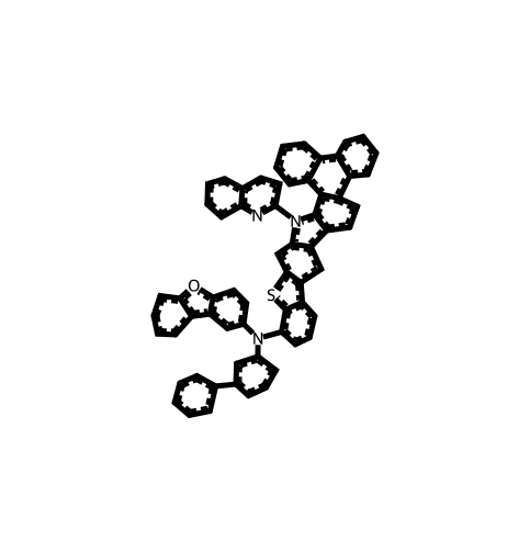 c1ccc(-c2cccc(N(c3ccc4oc5ccccc5c4c3)c3cccc4c3sc3cc5c(cc34)c3ccc4c6ccccc6c6ccccc6c4c3n5-c3ccc4ccccc4n3)c2)cc1